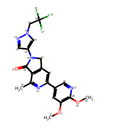 COc1cc(-c2cc3c(c(C)n2)C(=O)N(c2cnn(CC(F)(F)F)c2)C3)cnc1OC